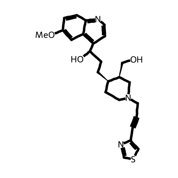 COc1ccc2nccc(C(O)CC[C@@H]3CCN(CC#Cc4cscn4)C[C@@H]3CO)c2c1